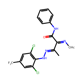 CC(=O)ON=C(C(=O)Nc1ccccc1)C(C)=NNc1c(Cl)cc(C(F)(F)F)cc1Cl